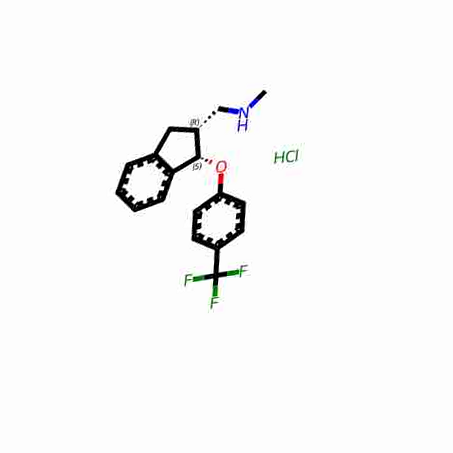 CNC[C@H]1Cc2ccccc2[C@H]1Oc1ccc(C(F)(F)F)cc1.Cl